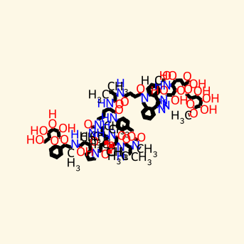 CCC(C)C(C(CC(=O)N1CCCC1C(OC)C(C)C(O)NC(C)C(OC1OC(CO)C(O)C(O)C1O)c1ccccc1)OC)N(C)C(=O)C(NC(=O)C(C(C)C)N(C)C(=O)OCc1ccc(NC(=O)C(CCCNC(N)=O)NC(=O)C(NC(=O)CCC(=O)N2Cc3ccccc3-c3nnn(C(O)C(O)C4OC(OCC5OC(OC)C(O)C(O)C5O)(C(=O)O)CC(O)C4NC(C)=O)c3-c3ccccc32)C(C)C)cc1)C(C)C